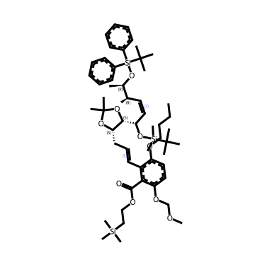 CCCCOc1ccc(OCOC)c(C(=O)OCC[Si](C)(C)C)c1/C=C/C[C@@H]1OC(C)(C)O[C@@H]1C(/C=C\[C@@H](C)[C@@H](C)O[Si](c1ccccc1)(c1ccccc1)C(C)(C)C)O[Si](C)(C)C(C)(C)C